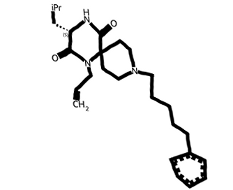 C=CCN1C(=O)[C@H](CC(C)C)NC(=O)C12CCN(CCCCCc1ccccc1)CC2